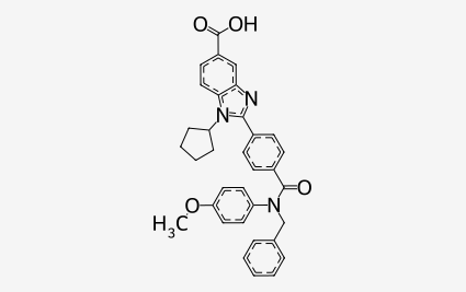 COc1ccc(N(Cc2ccccc2)C(=O)c2ccc(-c3nc4cc(C(=O)O)ccc4n3C3CCCC3)cc2)cc1